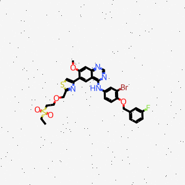 CCS(=O)(=O)CCOCc1nc(-c2cc3c(Nc4ccc(OCc5cccc(F)c5)c(Br)c4)ncnc3cc2OC)cs1